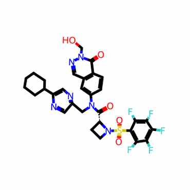 O=C([C@H]1CCN1S(=O)(=O)c1c(F)c(F)c(F)c(F)c1F)N(Cc1cnc(C2CCCCC2)cn1)c1ccc2c(=O)n(CO)ncc2c1